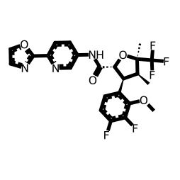 COc1c([C@H]2[C@H](C(=O)Nc3ccc(-c4ncco4)nc3)O[C@@](C)(C(F)(F)F)[C@H]2C)ccc(F)c1F